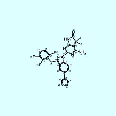 CC1(C)C(=O)Nc2nc(-n3nc(Cc4c(F)ccc(F)c4F)c4cc(-c5ccsc5)ccc43)nc(N)c21